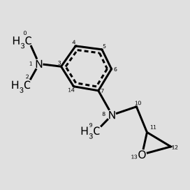 CN(C)c1cccc(N(C)CC2CO2)c1